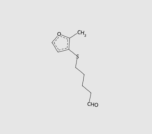 Cc1occc1SCCCCC=O